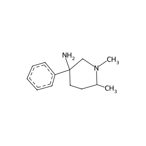 CC1CCC(N)(c2ccccc2)CN1C